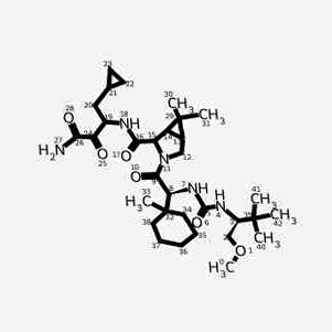 COC[C@@H](NC(=O)N[C@H](C(=O)N1CC2C(C1C(=O)NC(CC1CC1)C(=O)C(N)=O)C2(C)C)C1(C)CCCCC1)C(C)(C)C